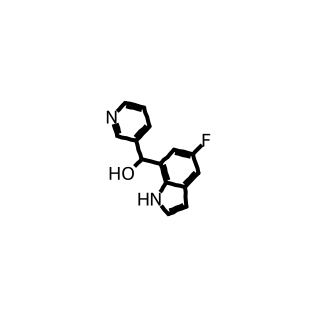 OC(c1cccnc1)c1cc(F)cc2cc[nH]c12